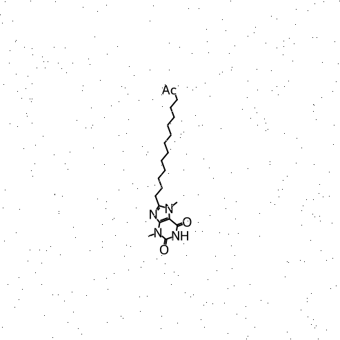 CC(=O)CCCCCCCCCCCCc1nc2c(c(=O)[nH]c(=O)n2C)n1C